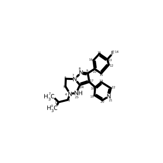 CC(C)CN1CCn2nc(-c3ccc(F)cc3)c(-c3ccncc3)c2N1